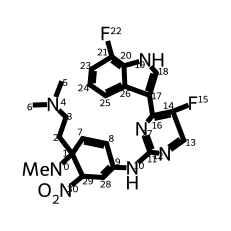 CNC1(CCN(C)C)C=CC(Nc2ncc(F)c(-c3c[nH]c4c(F)cccc34)n2)=CC1[N+](=O)[O-]